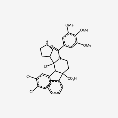 CCC1(C2CCNC2)C(c2ccc(Cl)c(Cl)c2)C(C(=O)O)(c2ccccc2)CCN1C(=O)c1cc(OC)c(OC)c(OC)c1